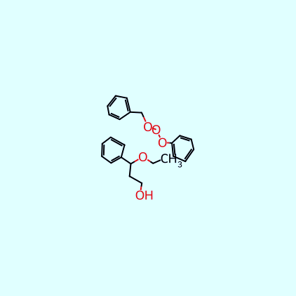 CCOC(CCO)c1ccccc1.c1ccc(COOOc2ccccc2)cc1